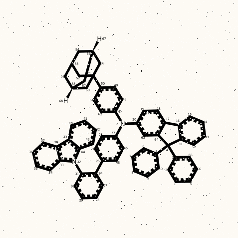 c1ccc(C2(c3ccccc3)c3ccccc3-c3ccc(N(c4ccc(-c5ccccc5-n5c6ccccc6c6ccccc65)cc4)c4ccc(C56CC7C[C@H](C5)C[C@@H](C7)C6)cc4)cc32)cc1